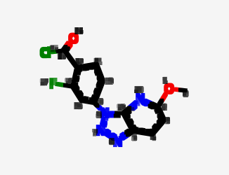 COc1ccc2nnn(-c3ccc(C(=O)Cl)c(F)c3)c2n1